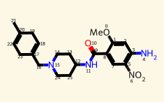 COc1cc(N)c([N+](=O)[O-])cc1C(=O)NC1CCN(CC2=CCC(C)=CC2)CC1